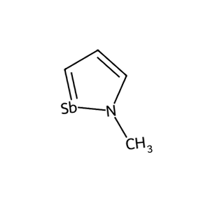 C[N]1C=C[CH]=[Sb]1